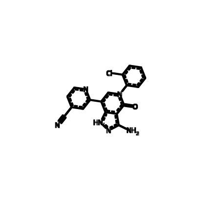 N#Cc1ccnc(-c2cn(-c3ccccc3Cl)c(=O)c3c(N)n[nH]c23)c1